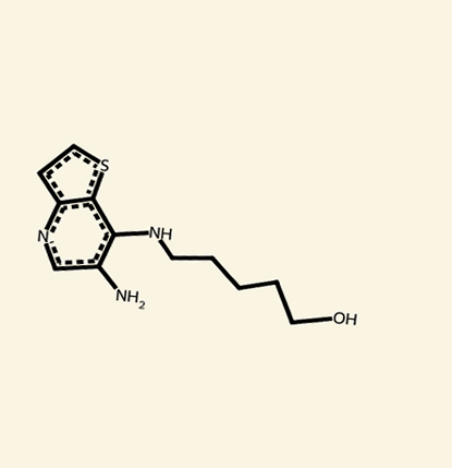 Nc1cnc2ccsc2c1NCCCCCO